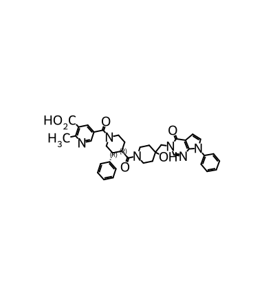 Cc1ncc(C(=O)N2CC[C@@H](C(=O)N3CCC(O)(Cn4cnc5c(ccn5-c5ccccc5)c4=O)CC3)[C@H](c3ccccc3)C2)cc1C(=O)O